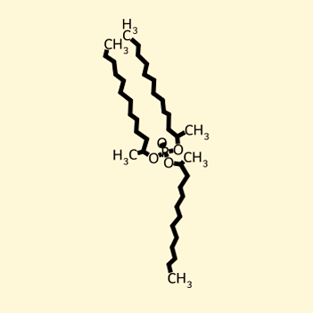 CCCCCCCCCCCC(C)OP(=O)(OC(C)CCCCCCCCCCC)OC(C)CCCCCCCCCCC